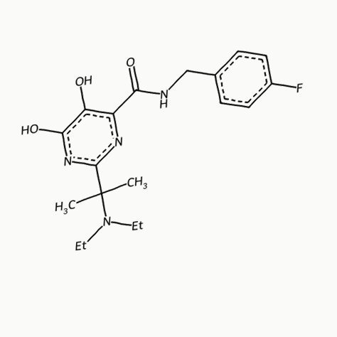 CCN(CC)C(C)(C)c1nc(O)c(O)c(C(=O)NCc2ccc(F)cc2)n1